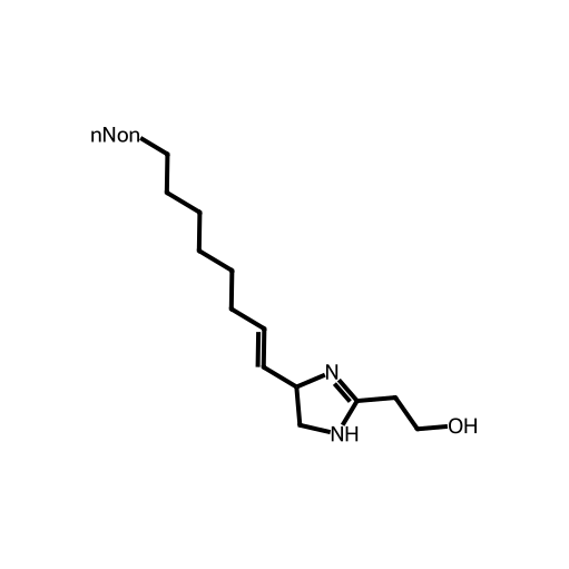 CCCCCCCCCCCCCCCC=CC1CNC(CCO)=N1